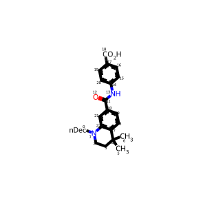 CCCCCCCCCCN1CCC(C)(C)c2ccc(C(=O)Nc3ccc(C(=O)O)cc3)cc21